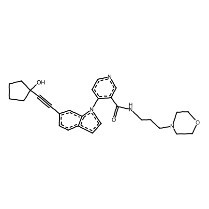 O=C(NCCCN1CCOCC1)c1cnccc1-n1ccc2ccc(C#CC3(O)CCCC3)cc21